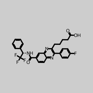 O=C(O)CCCCc1nc2cc(C(=O)N[C@@H](c3ccccc3)C(F)(F)F)ccc2nc1-c1ccc(F)cc1